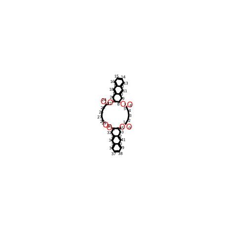 O=C1CCCC(=O)OC2Cc3cc4ccccc4cc3CC2OC(=O)CCCCOOC2Cc3cc4ccccc4cc3CC2O1